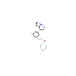 CN(C)C1CCN(C(=O)[C@@H]2Cc3cc(Cl)cc(-c4ccnc5[nH]ccc45)c3O2)CC1